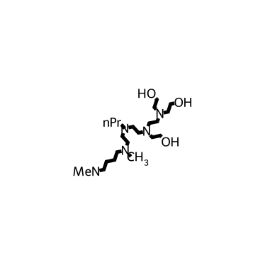 CCCN(CCN(C)CCCCNC)CCN(CCO)CCN(CCO)CCO